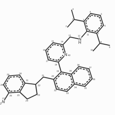 CC(C)c1cccc(C(C)C)c1NCc1cccc(-c2c(CC3CCc4c(N)cccc43)ccc3ccccc23)n1